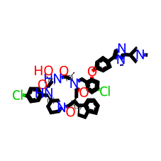 C[C@H]1C(=O)N[C@@H](CO)C(=O)N[C@@]2(Cc3ccc(Cl)cc3)CCCN(C2)C(=O)[C@H]([C@@H]2CCc3ccccc32)CC(=O)N1Cc1ccc(Cl)cc1Oc1ccc(-c2cnc(C3CN(C)C3)n2C)cc1